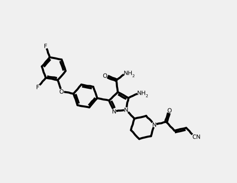 N#C/C=C/C(=O)N1CCCC(n2nc(-c3ccc(Oc4ccc(F)cc4F)cc3)c(C(N)=O)c2N)C1